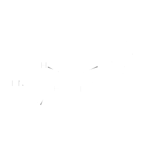 C[C@]12CCC3(C=C1CC[C@@H]1[C@@H]2CC[C@]2(C)C(=O)NC[C@@H]12)CCSS3